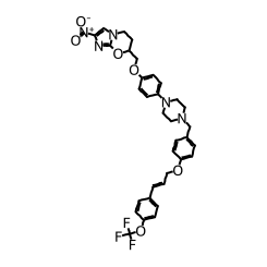 O=[N+]([O-])c1cn2c(n1)OC(COc1ccc(N3CCN(Cc4ccc(OCC=Cc5ccc(OC(F)(F)F)cc5)cc4)CC3)cc1)CC2